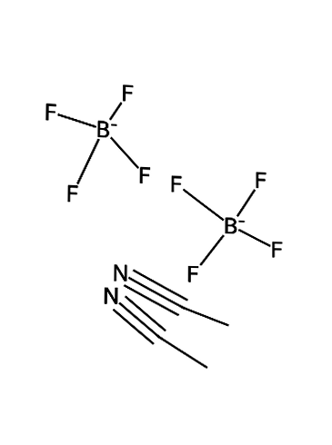 CC#N.CC#N.F[B-](F)(F)F.F[B-](F)(F)F